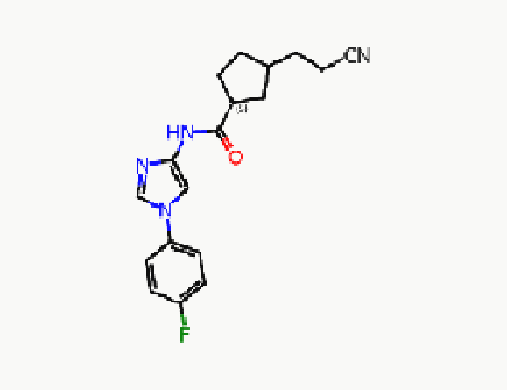 N#CCCC1CC[C@H](C(=O)Nc2cn(-c3ccc(F)cc3)cn2)C1